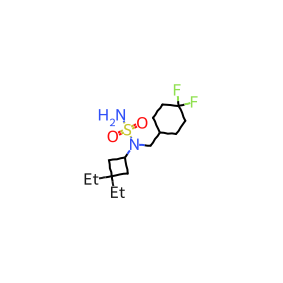 CCC1(CC)CC(N(CC2CCC(F)(F)CC2)S(N)(=O)=O)C1